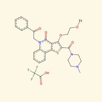 CCOCCOc1c(C(=O)N2CCN(C)CC2)sc2c1c(=O)n(CC(=O)c1ccccc1)c1ccccc21.O=C(O)C(F)(F)F